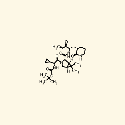 C=CC(=O)[C@H](C[C@@H]1CCCNC1=O)NC(=O)[C@@H]1[C@@H]2[C@H](CN1C(=O)[C@@H](NC(=O)OC(C)(C)C)C1CC1)C2(C)C